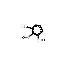 CCCCc1cccc([C]=O)c1[C]=O